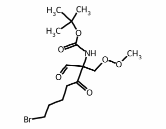 COOCC(C=O)(NC(=O)OC(C)(C)C)C(=O)CCCCBr